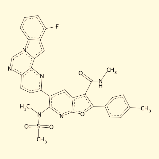 CNC(=O)c1c(-c2ccc(C)cc2)oc2nc(N(C)S(C)(=O)=O)c(-c3ccc4ncn5c6cccc(F)c6cc5c4n3)cc12